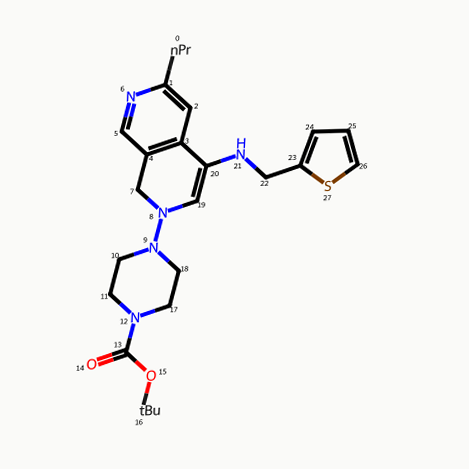 CCCc1cc2c(cn1)CN(N1CCN(C(=O)OC(C)(C)C)CC1)C=C2NCc1cccs1